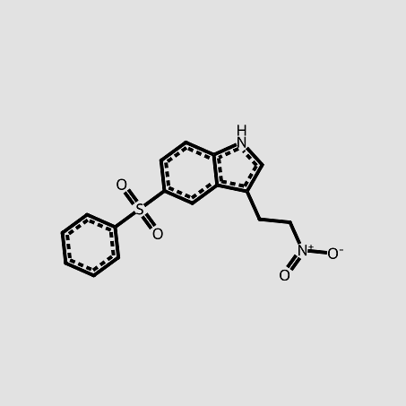 O=[N+]([O-])CCc1c[nH]c2ccc(S(=O)(=O)c3ccccc3)cc12